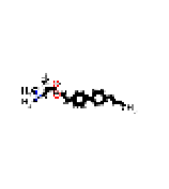 C=CCCC1CCC(c2ccc(CCOC(=O)C(=C)CN(C)C)cc2)CC1